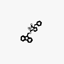 O=C(OCC1c2ccccc2-c2ccccc21)N1CCC[C@@]1(Cc1ccccc1)C(=O)O